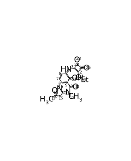 CCOc1c(Nc2cccc(C(=O)N(C)c3cc(C)on3)c2O)c(=O)c1=O